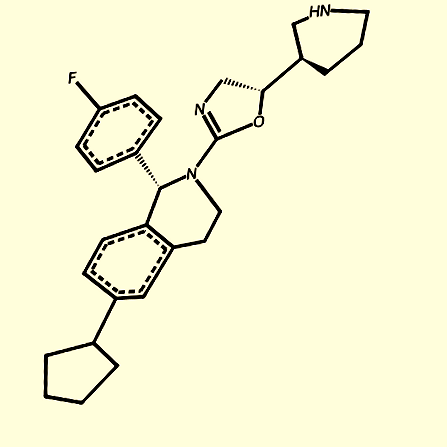 Fc1ccc([C@H]2c3ccc(C4CCCC4)cc3CCN2C2=NC[C@H]([C@@H]3CCCNC3)O2)cc1